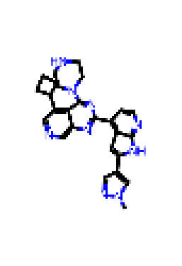 Cn1cc(-c2cc3c(-c4nc(N5CCNCC5)c5c(C6CCC6)cncc5n4)ccnc3[nH]2)cn1